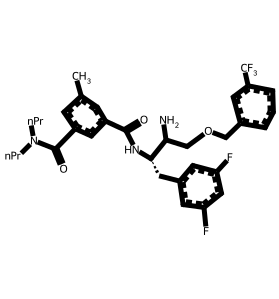 CCCN(CCC)C(=O)c1cc(C)cc(C(=O)N[C@@H](Cc2cc(F)cc(F)c2)C(N)COCc2cccc(C(F)(F)F)c2)c1